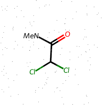 [CH2]NC(=O)C(Cl)Cl